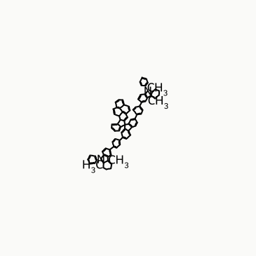 CC12CCCCC1(C)N(c1ccccc1)c1ccc(-c3ccc(-c4ccc5c(c4)C4(C6=Cc7ccc8cccc9c8c7C(C=C9)C6c6ccccc64)c4cc(-c6ccc(-c7ccc8c(c7)C7(C)CCCCC7(C)N8c7ccccc7)cc6)ccc4-5)cc3)cc12